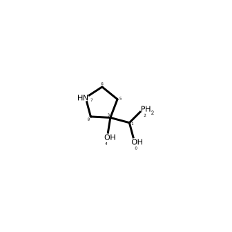 OC(P)C1(O)CCNC1